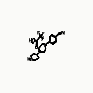 N#Cc1ccc(N2CCN(C3CCNCC3)CC2)cc1.O=C(O)C(F)(F)F